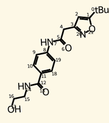 CC(C)(C)c1cc(CC(=O)Nc2ccc(C(=O)NCCO)cc2)no1